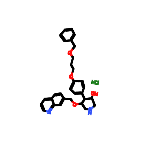 Cl.OC1CNCC(OCc2ccc3cccnc3c2)C1c1ccc(OCCCOCc2ccccc2)cc1